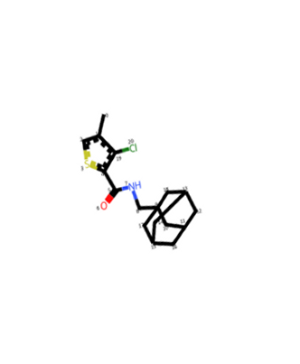 Cc1csc(C(=O)NCC23CC4CC(CC(C4)C2)C3)c1Cl